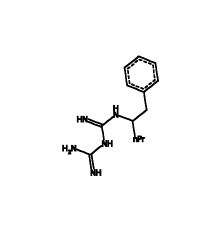 CCCC(Cc1ccccc1)NC(=N)NC(=N)N